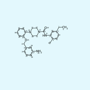 CCc1ccc(F)c(NC(=O)N2CCN(c3ccccc3OCc3ccnc(N)n3)CC2)c1